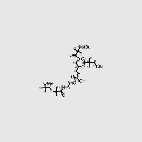 COC(C)(C)COC(C)(C)C(=O)NCCOP(=O)(O)OCC(COC(=O)C(C)(C)CC(C)(C)C)OC(=O)C(C)(C)CC(C)(C)C